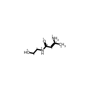 C/C(N)=C/C(=O)NCCO